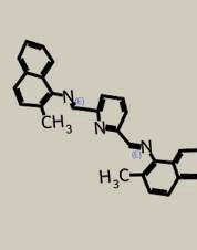 Cc1ccc2ccccc2c1/N=C/c1cccc(/C=N/c2c(C)ccc3ccccc23)n1